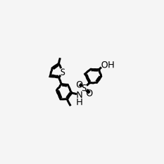 Cc1ccc(-c2ccc(C)c(NS(=O)(=O)c3ccc(O)cc3)c2)s1